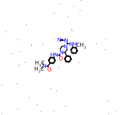 Cc1ccccc1N/C(=N/C#N)N1CCN(C(=O)Nc2ccc(C(=O)N(C)C)cc2)C(c2ccccc2)C1